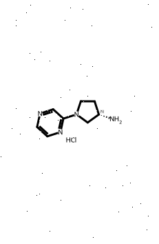 Cl.N[C@H]1CCN(c2cnccn2)C1